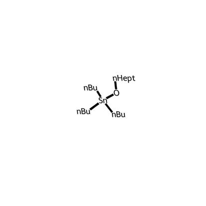 CCCCCCC[O][Sn]([CH2]CCC)([CH2]CCC)[CH2]CCC